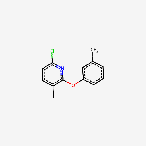 Cc1ccc(Cl)nc1Oc1cccc(C(F)(F)F)c1